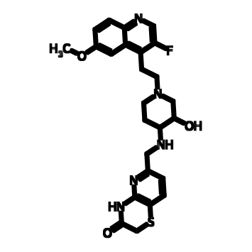 COc1ccc2ncc(F)c(CCN3CCC(NCc4ccc5c(n4)NC(=O)CS5)C(O)C3)c2c1